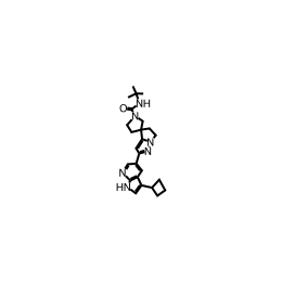 CC(C)(C)NC(=O)N1CCC2(CCn3nc(-c4cnc5[nH]cc(C6CCC6)c5c4)cc32)C1